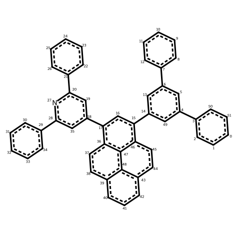 c1ccc(-c2cc(-c3ccccc3)cc(-c3cc(-c4cc(-c5ccccc5)nc(-c5ccccc5)c4)c4ccc5cccc6ccc3c4c65)c2)cc1